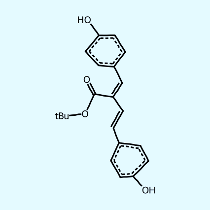 CC(C)(C)OC(=O)C(C=Cc1ccc(O)cc1)=Cc1ccc(O)cc1